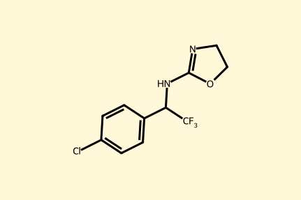 FC(F)(F)C(NC1=NCCO1)c1ccc(Cl)cc1